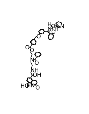 O=C(N[C@@H](c1ccccc1)c1cccc(OCc2ccc(C(=O)OCCCN(CCCNC[C@H](O)c3ccc(O)c4[nH]c(=O)ccc34)C(=O)c3ccccc3)cc2)c1)O[C@H]1CN2CCCC1CC2